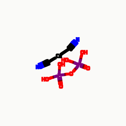 N#[C][Cu][C]#N.O=P(O)(O)OP(=O)(O)O